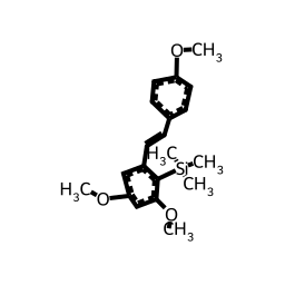 COc1ccc(/C=C/c2cc(OC)cc(OC)c2[Si](C)(C)C)cc1